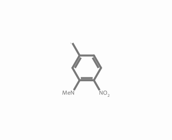 [CH2]c1ccc([N+](=O)[O-])c(NC)c1